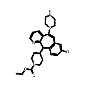 CCOC(=O)N1CCC(C2c3ccc(Cl)cc3C=C(N3CCNCC3)c3cccnc32)CC1